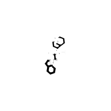 O=C(NC1CCN2CCCC1C2)C(=O)n1ccc2ccccc21